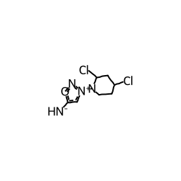 [NH-]c1c[n+](N2CCC(Cl)CC2Cl)no1